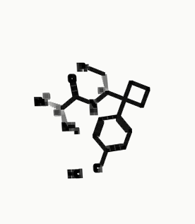 CC[C@@H](C)[C@@H](N)C(=O)N[C@H](CC(C)C)C1(c2ccc(Cl)cc2)CCC1.Cl